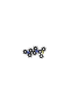 C1=C(c2ccccc2)C2Sc3ccccc3C2C=C1n1c2ccccc2c2c(-c3cccc4c3c3ccccc3n4-c3ccccc3)cccc21